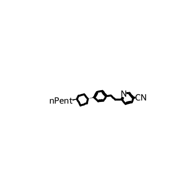 CCCCC[C@H]1CC[C@H](c2ccc(CCc3ccc(C#N)cn3)cc2)CC1